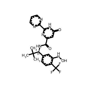 CC(C)(C)[C@@H](NC(=O)c1cc(=O)[nH]c(-c2ncccn2)n1)c1ccc(C(F)(F)F)c(NO)c1